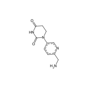 NCc1ccc(N2CCC(=O)NC2=O)cn1